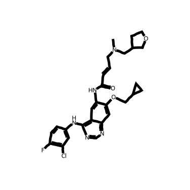 CN(C/C=C/C(=O)Nc1cc2c(Nc3ccc(F)c(Cl)c3)ncnc2cc1OCC1CC1)CC1CCOC1